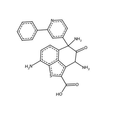 Nc1ccc2c3c(c(C(=O)O)sc13)C(N)C(=O)C2(N)c1ccnc(-c2ccccc2)c1